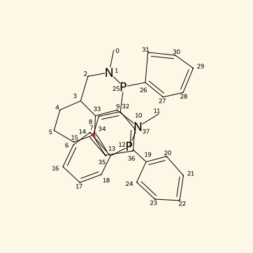 CN(CC1CCCCC1CN(C)P(c1ccccc1)c1ccccc1)P(c1ccccc1)c1ccccc1